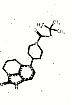 CC(C)(C)OC(=O)N1CCC(c2ccc3[nH]c(=O)n4c3c2CCC4)CC1